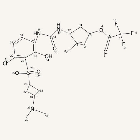 CC1=CC(OC(=O)C(F)(F)F)C[C@H]1NC(=O)Nc1ccc(Cl)c(S(=O)(=O)C2CC(N(C)C)C2)c1O